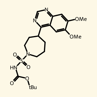 COc1cc2ncnc(C3CCCN(S(=O)(=O)NC(=O)OC(C)(C)C)CC3)c2cc1OC